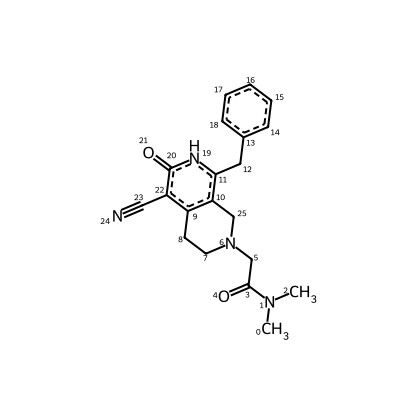 CN(C)C(=O)CN1CCc2c(c(Cc3ccccc3)[nH]c(=O)c2C#N)C1